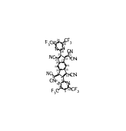 N#CC(C#N)=C1C(c2nc(C(F)(F)F)cc(C(F)(F)F)n2)=C(C#N)c2cc3c(cc21)C(C#N)=C(c1nc(C(F)(F)F)cc(C(F)(F)F)n1)C3=C(C#N)C#N